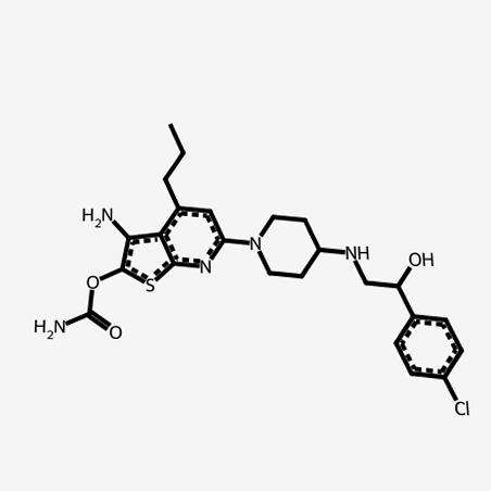 CCCc1cc(N2CCC(NCC(O)c3ccc(Cl)cc3)CC2)nc2sc(OC(N)=O)c(N)c12